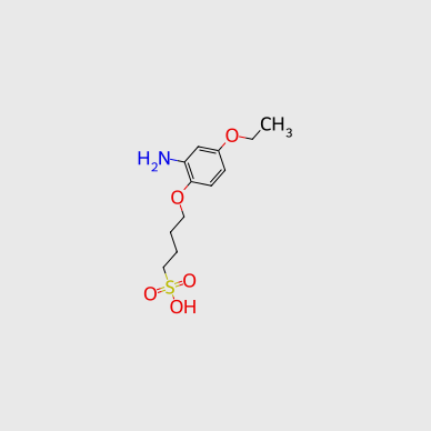 CCOc1ccc(OCCCCS(=O)(=O)O)c(N)c1